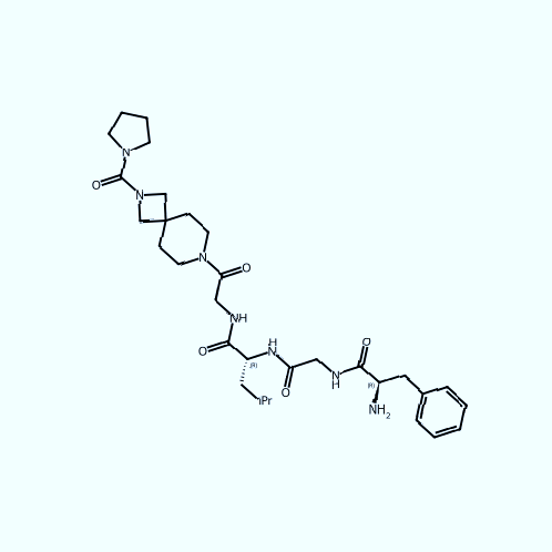 CC(C)C[C@@H](NC(=O)CNC(=O)[C@H](N)Cc1ccccc1)C(=O)NCC(=O)N1CCC2(CC1)CN(C(=O)N1CCCC1)C2